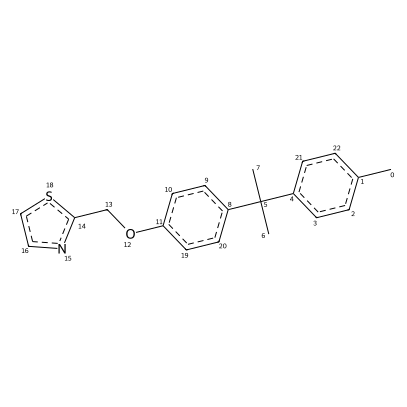 Cc1ccc(C(C)(C)c2ccc(OCc3nccs3)cc2)cc1